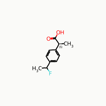 CC(F)c1ccc([C@H](C)C(=O)O)cc1